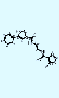 Cc1scnc1C(=O)NCCNC(=O)c1cc(-c2ccccc2)[nH]n1